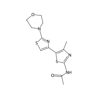 CC(=O)Nc1nc(C)c(-c2csc(N3CCOCC3)n2)s1